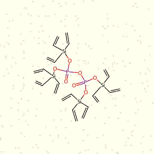 C=C[Si](C=C)(C=C)OP(=O)(O[Si](C=C)(C=C)C=C)OP(=O)(O[Si](C=C)(C=C)C=C)O[Si](C=C)(C=C)C=C